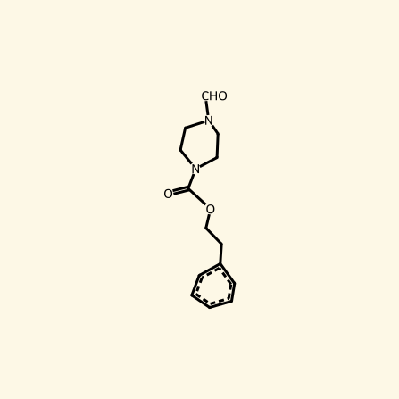 O=CN1CCN(C(=O)OCCc2ccccc2)CC1